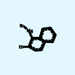 CCc1ccc2ccccc2[c]1[Mg][Br]